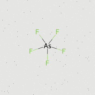 F[As](F)(F)(F)F